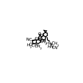 C/C(=N\C#N)NCCC[C@]12CCC3(CC3)C[C@H]1[C@H]1C(=O)C=C3[C@@]4(C)C=C(C#N)C(=O)C(C)(C)[C@@H]4CC[C@@]3(C)[C@]1(C)CC2